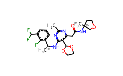 Cc1nc(CC(=O)N[C@]2(C(F)(F)F)CCOC2)c(C2OCCO2)c(N[C@H](C)c2cccc(C(F)F)c2F)n1